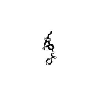 CCCc1nc2c[n+]([O-])c3cc(OCC(=O)N4CCOCC4)ccc3c2s1